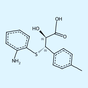 Cc1ccc([C@H](Sc2ccccc2N)[C@@H](O)C(=O)O)cc1